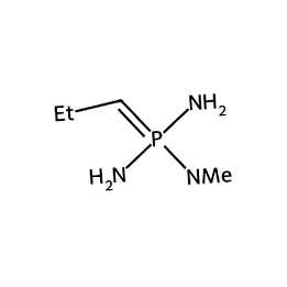 CCC=P(N)(N)NC